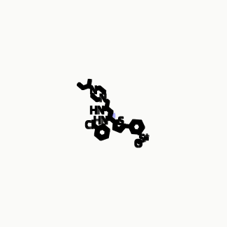 CCC(C)N1CCN(CC(=N)/C=C(\Nc2ccccc2Cl)c2ccc(-c3cccc([S+](C)[O-])c3)s2)CC1